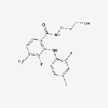 Cc1ccc(C(=O)NOCCO)c(Nc2ccc(I)cc2F)c1F